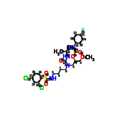 COC[C@@H](CN(CCCCNS(=O)(=O)c1ccc(Cl)cc1Cl)C(=O)NC(C)C)OC(=O)Nc1ccc(F)cc1